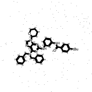 CC(C)(C)c1ccc(C(=O)Nc2cccc(Nc3nc(N(Cc4ccccc4)Cc4ccccc4)c4ncn(C5CCCCO5)c4n3)c2)cc1